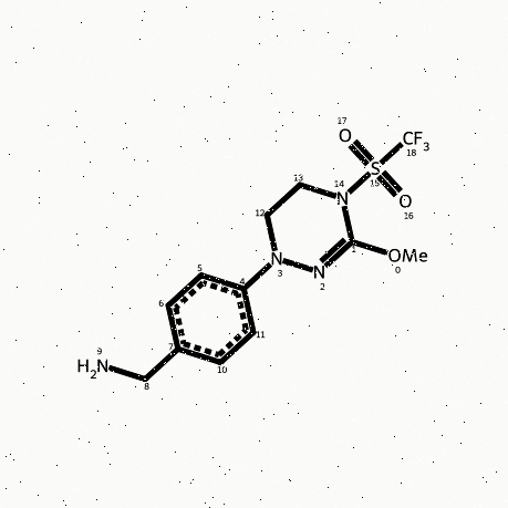 COC1=NN(c2ccc(CN)cc2)CCN1S(=O)(=O)C(F)(F)F